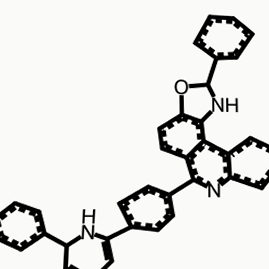 C1=CC(c2ccccc2)NC(c2ccc(-c3nc4ccccc4c4c5c(ccc34)OC(c3ccccc3)N5)cc2)=C1